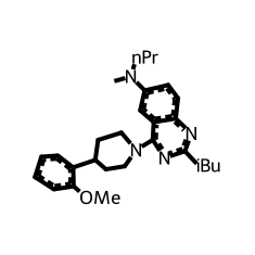 CCCN(C)c1ccc2nc(C(C)CC)nc(N3CCC(c4ccccc4OC)CC3)c2c1